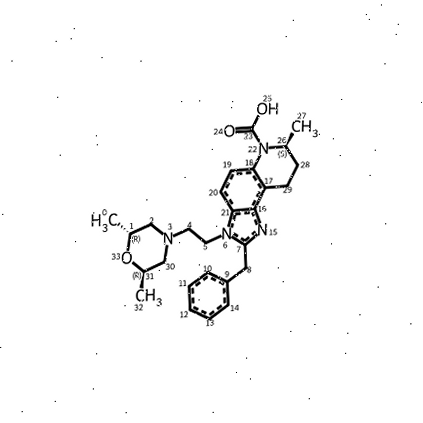 C[C@@H]1CN(CCn2c(Cc3ccccc3)nc3c4c(ccc32)N(C(=O)O)[C@@H](C)CC4)C[C@@H](C)O1